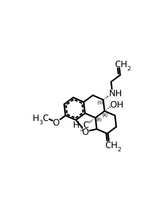 C=CCN[C@H]1Cc2ccc(OC)c3c2[C@]2(C)C(O3)C(=C)CC[C@]12O